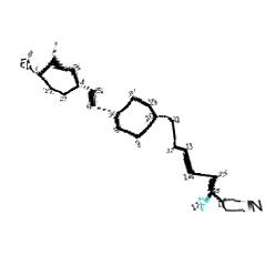 CC[C@H]1CC[C@H](CC[C@H]2CC[C@H](CCC=CC=C(F)C#N)CC2)CC1